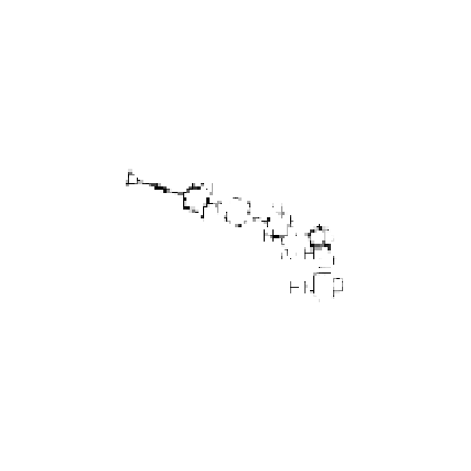 [AsH2]C1=NC(N2CCN(c3ncc(C#CC4CC4)cn3)CC2)=NCN1c1cnn(C[C@@H]2CNCCO2)c1